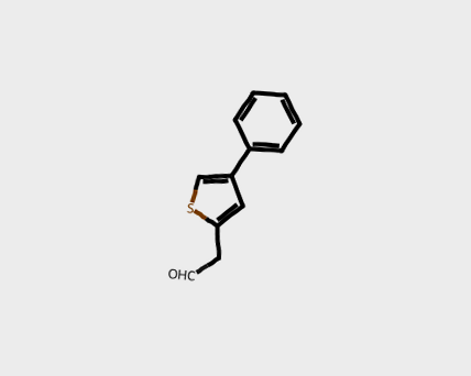 O=CCc1cc(-c2ccccc2)cs1